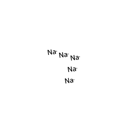 [Na].[Na].[Na].[Na].[Na]